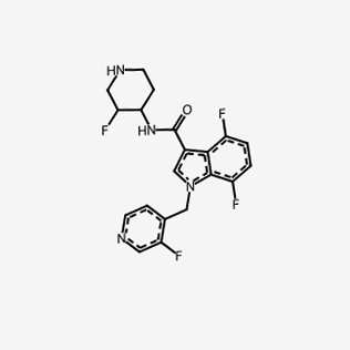 O=C(NC1CCNCC1F)c1cn(Cc2ccncc2F)c2c(F)ccc(F)c12